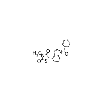 CN1C(=O)SC(c2cccc3c2ccn3C(=O)c2ccccc2)C1=O